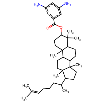 CC(C)=CCCCC(C)C1CCC2(C)C3CCC4C(C)(C)C(OC(=O)c5cc(N)cc(N)c5)CCC4(C)C3CCC12C